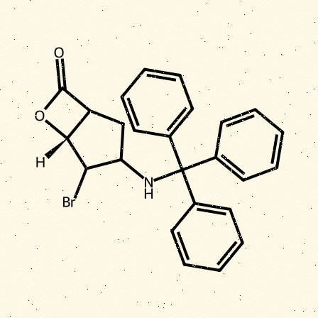 O=C1O[C@@H]2C1CC(NC(c1ccccc1)(c1ccccc1)c1ccccc1)C2Br